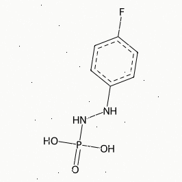 O=P(O)(O)NNc1ccc(F)cc1